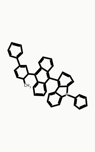 CC1C=CC(c2ccccc2)=CC1c1c2ccccc2c(-c2cccc3c2c2ccccc2n3-c2ccccc2)c2ccccc12